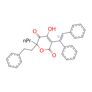 CCCC1(CCc2ccccc2)OC(=O)C(/C(=C/c2ccccc2)c2ccccc2)=C(O)C1=O